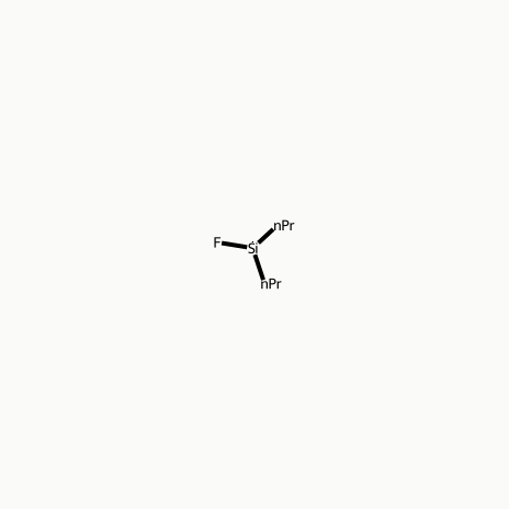 CCC[Si](F)CCC